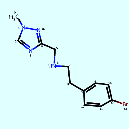 Cn1cnc(CNCCc2ccc(Br)cc2)n1